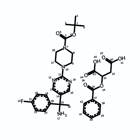 CC(C)(C)OC(=O)N1CCN(c2ncc(C(C)(N)c3ccc(F)cc3)cn2)CC1.O=C(O)CC(OC(=O)c1ccccc1)C(=O)O